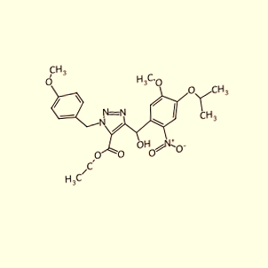 CCOC(=O)c1c(C(O)c2cc(OC)c(OC(C)C)cc2[N+](=O)[O-])nnn1Cc1ccc(OC)cc1